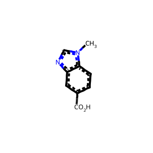 Cn1[c]nc2cc(C(=O)O)ccc21